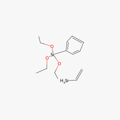 C=C[SiH3].CCO[Si](OCC)(OCC)c1ccccc1